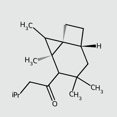 CC(C)CC(=O)C1C(C)(C)C[C@H]2CC[C@]23C(C)[C@]13C